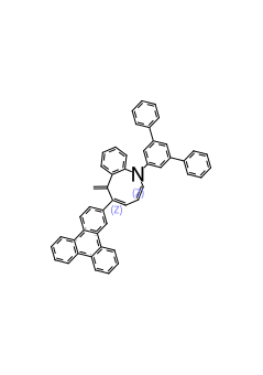 C=C1/C(c2ccc3c4ccccc4c4ccccc4c3c2)=C\C=C/N(c2cc(-c3ccccc3)cc(-c3ccccc3)c2)c2ccccc21